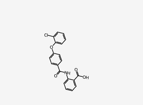 O=C(Nc1ccccc1C(=O)O)c1ccc(Oc2ccccc2Cl)cc1